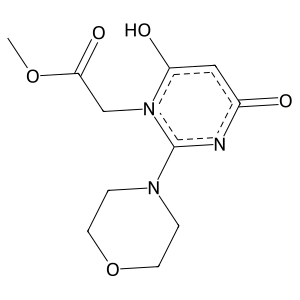 COC(=O)Cn1c(O)cc(=O)nc1N1CCOCC1